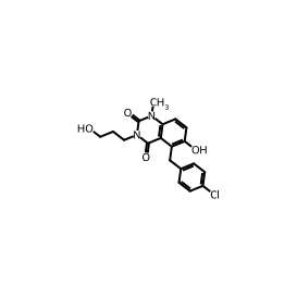 Cn1c(=O)n(CCCO)c(=O)c2c(Cc3ccc(Cl)cc3)c(O)ccc21